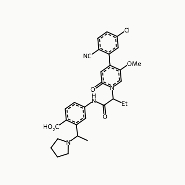 CCC(C(=O)Nc1ccc(C(=O)O)c(C(C)N2CCCC2)c1)n1cc(OC)c(-c2cc(Cl)ccc2C#N)cc1=O